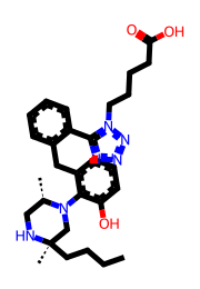 CCCC[C@]1(C)CN(c2c(O)cccc2Cc2ccccc2-c2nnnn2CCCCC(=O)O)[C@@H](C)CN1